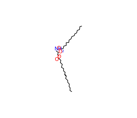 CCCCCCCCC=CCCCCCCCC(=O)OCC(CN)OC(=O)CCCCCCCCCCCCCCC